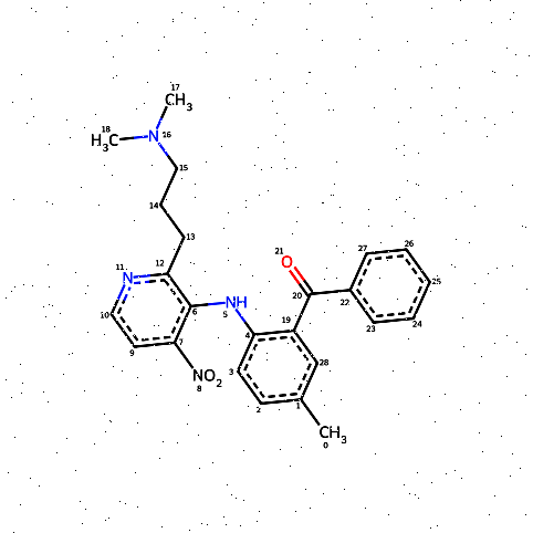 Cc1ccc(Nc2c([N+](=O)[O-])ccnc2CCCN(C)C)c(C(=O)c2ccccc2)c1